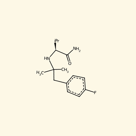 CC(C)[C@H](NC(C)(C)Cc1ccc(F)cc1)C(N)=O